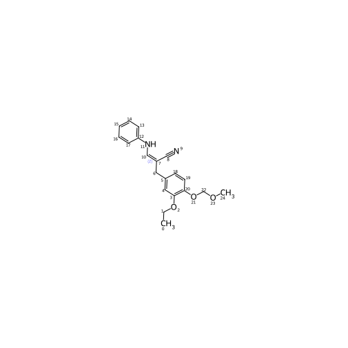 CCOc1cc(C/C(C#N)=C/Nc2ccccc2)ccc1OCOC